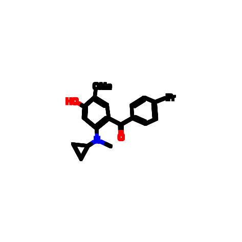 COc1cc(C(=O)c2ccc(C(C)C)cc2)c(N(C)C2CC2)cc1O